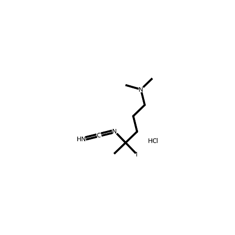 CN(C)CCCC(C)(I)N=C=N.Cl